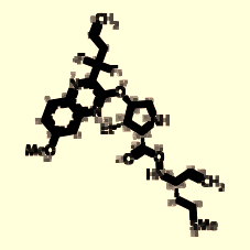 C=CCC(F)(F)c1nc2ccc(OC)cc2nc1O[C@H]1CN[C@H](C(=O)ON[C@H](C=C)CCSC)[C@@H]1CC